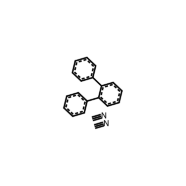 C#N.C#N.c1ccc(-c2ccccc2-c2ccccc2)cc1